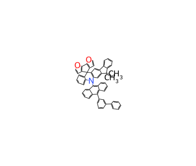 CC1(C)c2ccccc2-c2cc3c(cc21)N(c1c2ccccc2c(-c2cccc(-c4ccccc4)c2)c2ccccc12)c1ccccc1C31c2ccoc2-c2occc21